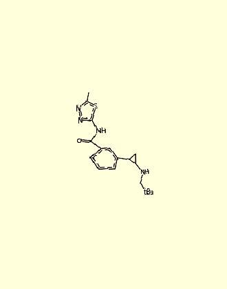 Cc1nnc(NC(=O)c2cccc(C3CC3NCC(C)(C)C)c2)s1